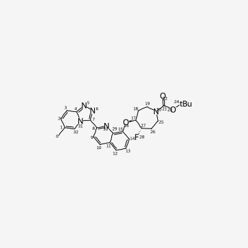 Cc1ccc2nnc(-c3ccc4cccc(O[C@H]5CCN(C(=O)OC(C)(C)C)CC[C@@H]5F)c4n3)n2c1